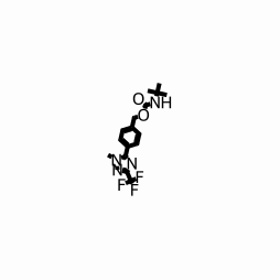 Cn1nc(C(F)(F)F)nc1-c1ccc(COC(=O)NC(C)(C)C)cc1